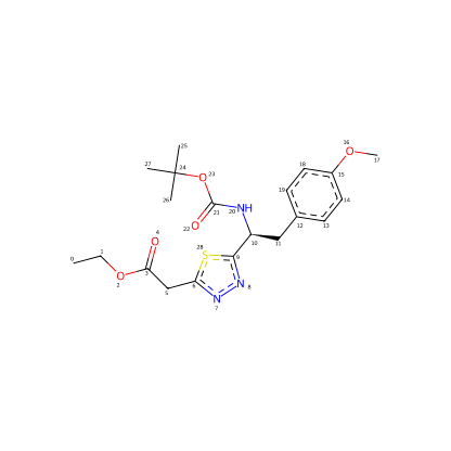 CCOC(=O)Cc1nnc([C@H](Cc2ccc(OC)cc2)NC(=O)OC(C)(C)C)s1